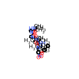 CC(C)[C@H](NC(=O)[C@H](C(C)C)[N+](C)(C)Cc1ccc([N+](=O)[O-])c(Oc2ccc(-c3ccccc3)cc2)c1)C(=O)N(C)[C@H](C(=O)N1CCCC1C(=O)N1CCCC1C(=O)NC(C)(C)C)C(C)C